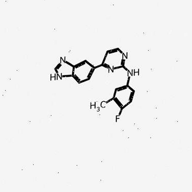 Cc1cc(Nc2nccc(-c3ccc4[nH]cnc4c3)n2)ccc1F